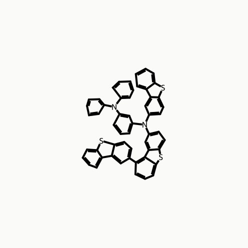 c1ccc(N(c2ccccc2)c2cccc(N(c3ccc4sc5ccccc5c4c3)c3ccc4sc5cccc(-c6ccc7sc8ccccc8c7c6)c5c4c3)c2)cc1